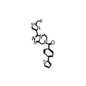 O=C(c1ccc(-c2cccs2)cc1)N1CCn2c(nnc2-c2csc(CF)n2)C1